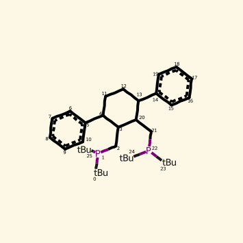 CC(C)(C)P(CC1C(c2ccccc2)CCC(c2ccccc2)C1CP(C(C)(C)C)C(C)(C)C)C(C)(C)C